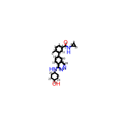 Cc1ccc(C(=O)NC2CC2)cc1-c1ccc2c(NC3CCC(O)CC3)nncc2c1